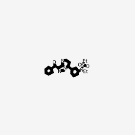 CCN(c1cccc(-c2ccnc3c(C(=O)c4ccccc4)ncn23)c1)S(=O)(=O)CC